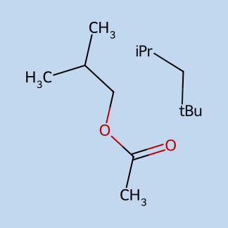 CC(=O)OCC(C)C.CC(C)CC(C)(C)C